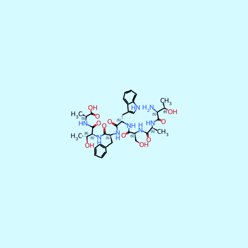 C[C@H](NC(=O)[C@@H](NC(=O)[C@H](Cc1ccccc1)NC(=O)[C@H](Cc1c[nH]c2ccccc12)NC(=O)[C@H](CO)NC(=O)[C@H](C)NC(=O)[C@@H](N)[C@@H](C)O)[C@@H](C)O)C(=O)O